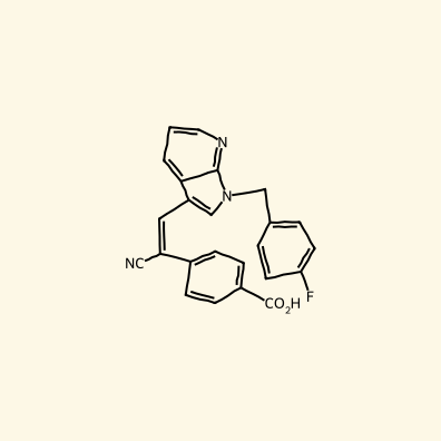 N#CC(=Cc1cn(Cc2ccc(F)cc2)c2ncccc12)c1ccc(C(=O)O)cc1